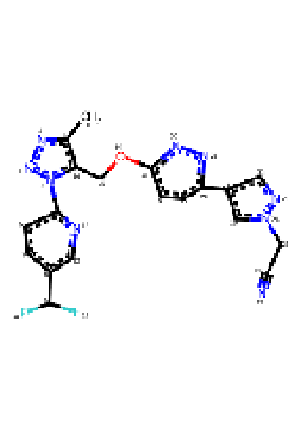 Cc1nnn(-c2ccc(C(F)F)cn2)c1COc1ccc(-c2cnn(CC#N)c2)nn1